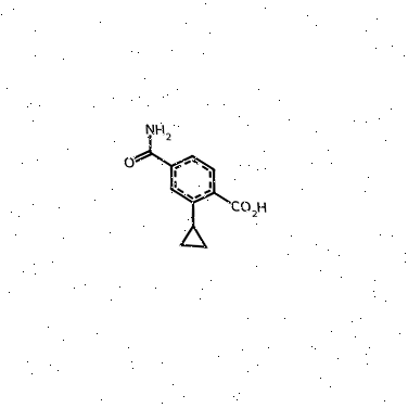 NC(=O)c1ccc(C(=O)O)c(C2CC2)c1